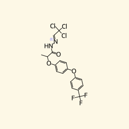 CC(Oc1ccc(Oc2ccc(C(F)(F)F)cc2)cc1)C(=O)N/N=C/C(Cl)(Cl)Cl